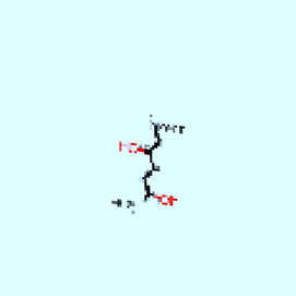 CCCCCCC(O)CCC(O)C(=O)O